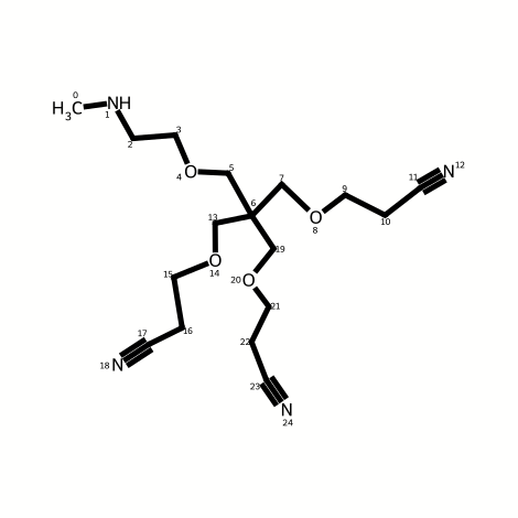 CNCCOCC(COCCC#N)(COCCC#N)COCCC#N